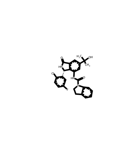 CC(C)(O)c1cc(NC(=O)N2CCc3ccccc32)c2c(c1)C(=O)N[C@H]2c1cc(F)ccc1Cl